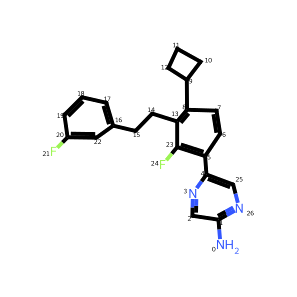 Nc1cnc(-c2ccc(C3CCC3)c(CCc3cccc(F)c3)c2F)cn1